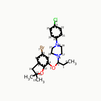 CCC(Oc1cc(Br)cc2c1OC(C)(C)C2)N1CCN(c2ccc(Cl)cc2)CC1